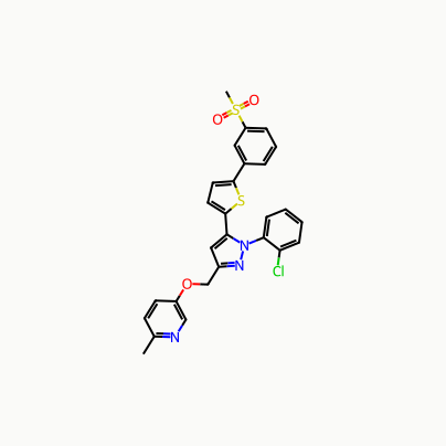 Cc1ccc(OCc2cc(-c3ccc(-c4cccc(S(C)(=O)=O)c4)s3)n(-c3ccccc3Cl)n2)cn1